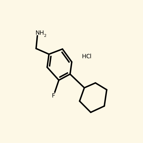 Cl.NCc1ccc(C2CCCCC2)c(F)c1